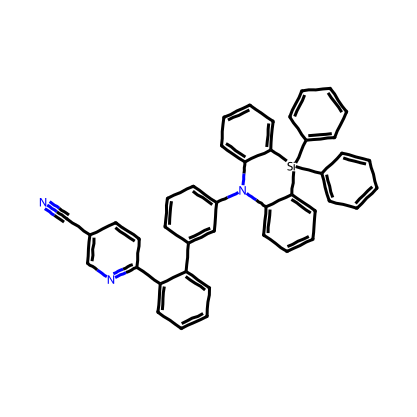 N#Cc1ccc(-c2ccccc2-c2cccc(N3c4ccccc4[Si](c4ccccc4)(c4ccccc4)c4ccccc43)c2)nc1